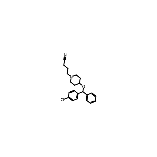 N#CCCCN1CCC(OC(c2ccccc2)c2ccc(Cl)cc2)CC1